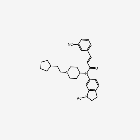 CC(=O)N1CCc2ccc(N(C(=O)C=Cc3cccc(C#N)c3)C3CCN(CCC4CCCC4)CC3)cc21